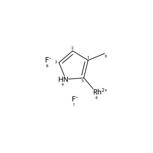 Cc1cc[nH][c]1[Rh+2].[F-].[F-]